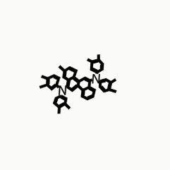 Cc1ccc2c(c1)c(N(c1ccc(C)c(C)c1)c1ccc(C)c(C)c1)cc1c3ccccc3c(N(c3ccc(C)c(C)c3)c3ccc(C)c(C)c3)cc21